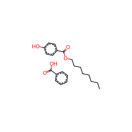 CCCCCCCCOC(=O)c1ccc(O)cc1.O=C(O)c1ccccc1